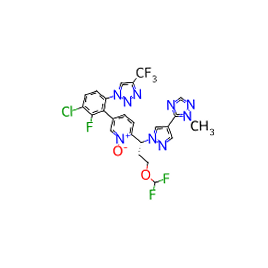 Cn1ncnc1-c1cnn([C@H](CCOC(F)F)c2ccc(-c3c(-n4cc(C(F)(F)F)nn4)ccc(Cl)c3F)c[n+]2[O-])c1